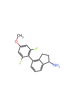 COc1cc(F)c(-c2cccc3c2CC[C@H]3N)c(F)c1